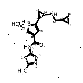 Cc1nnc(NC(=O)c2csc(C3CC3NCC3CC3)c2)s1.Cl.Cl